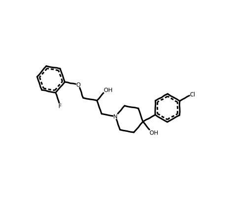 OC(COc1ccccc1F)CN1CCC(O)(c2ccc(Cl)cc2)CC1